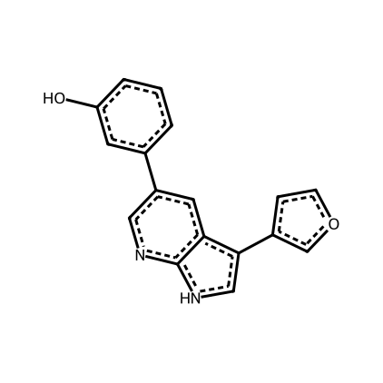 Oc1cccc(-c2cnc3[nH]cc(-c4ccoc4)c3c2)c1